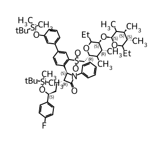 CCC1O[C@@H](O[C@@H]2C(CC)O[C@@H](CS(=O)(=O)c3cc(-c4cccc(O[Si](C)(C)C(C)(C)C)c4)ccc3[C@@H]3[C@@H](CC[C@H](O[Si](C)(C)C(C)(C)C)c4ccc(F)cc4)C(=O)N3c3ccccc3)C(C)[C@H]2C)C(C)[C@@H](C)[C@@H]1C